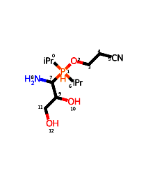 CC(C)[PH](OCCC#N)(C(C)C)C(N)C(O)CO